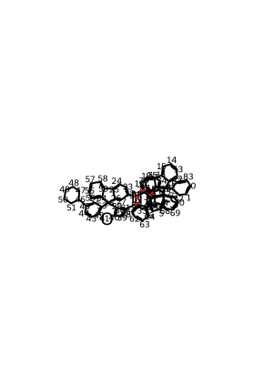 C1=CC2Sc3ccccc3C3(c4ccccc4-c4ccc(N(c5ccc6c(c5)C5(c7cc(C8CCCCC8)ccc7Oc7ccc(C8CCCCC8)cc75)c5ccccc5-6)c5ccccc5-n5c6ccccc6c6ccccc65)cc43)C2C=C1